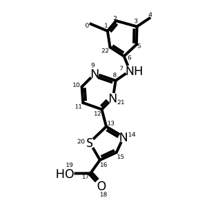 Cc1cc(C)cc(Nc2nccc(-c3ncc(C(=O)O)s3)n2)c1